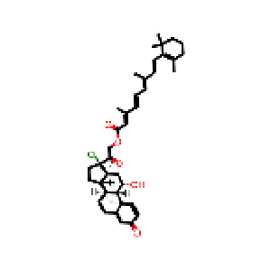 CC1=C(/C=C/C(C)=C/C=C/C(C)=C/C(=O)OCC(=O)[C@@]2(Cl)CC[C@H]3[C@@H]4CCC5=CC(=O)C=C[C@]5(C)[C@H]4[C@@H](O)C[C@@]32C)C(C)(C)CCC1